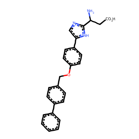 NC(CC(=O)O)c1ncc(-c2ccc(OCc3ccc(-c4ccccc4)cc3)cc2)[nH]1